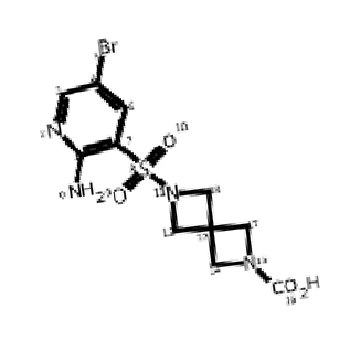 Nc1ncc(Br)cc1S(=O)(=O)N1CC2(CN(C(=O)O)C2)C1